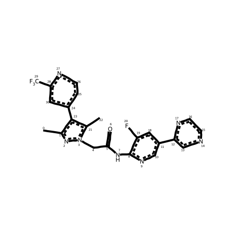 Cc1nn(CC(=O)Nc2ncc(-c3cnccn3)cc2F)c(C)c1-c1ccnc(C(F)(F)F)c1